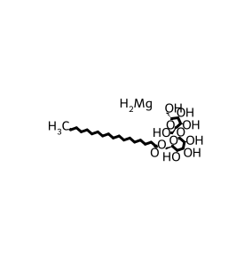 CCCCCCCCCCCCCCCCCC(=O)OC[C@H]1O[C@H](O[C@]2(CO)O[C@H](CO)[C@@H](O)[C@@H]2O)[C@H](O)[C@@H](O)[C@@H]1O.[MgH2]